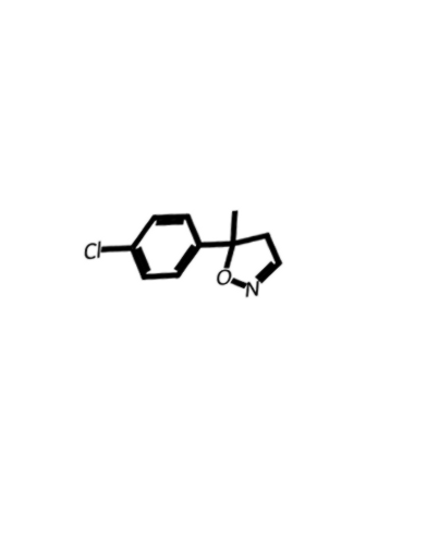 CC1(c2ccc(Cl)cc2)CC=NO1